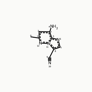 Cc1cc(N)c2ncc(C#N)n2n1